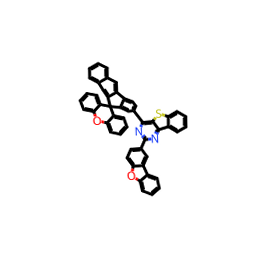 c1ccc2c(c1)Oc1ccccc1C21c2cc(-c3nc(-c4ccc5oc6ccccc6c5c4)nc4c3sc3ccccc34)ccc2-c2cc3ccccc3cc21